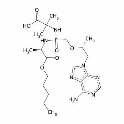 CCCCCOC(=O)[C@@H](C)N[P@@](=O)(CO[C@H](C)Cn1cnc2c(N)ncnc21)NC(C)(C)C(=O)O